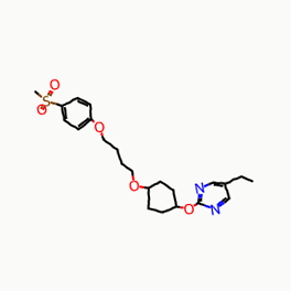 CCc1cnc(OC2CCC(OCCCCOc3ccc(S(C)(=O)=O)cc3)CC2)nc1